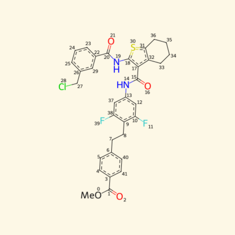 COC(=O)c1ccc(CCc2c(F)cc(NC(=O)c3c(NC(=O)c4cccc(CCl)c4)sc4c3CCCC4)cc2F)cc1